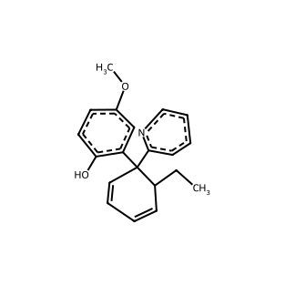 CCC1C=CC=CC1(c1ccccn1)c1cc(OC)ccc1O